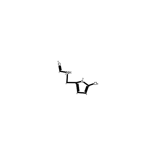 O=CNCc1ccc(Cl)s1